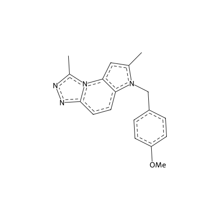 COc1ccc(Cn2c(C)cc3c2ccc2nnc(C)n23)cc1